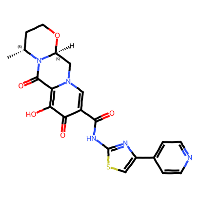 C[C@@H]1CCO[C@H]2Cn3cc(C(=O)Nc4nc(-c5ccncc5)cs4)c(=O)c(O)c3C(=O)N12